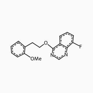 COc1ccccc1CCOc1ncnc2c(F)cccc12